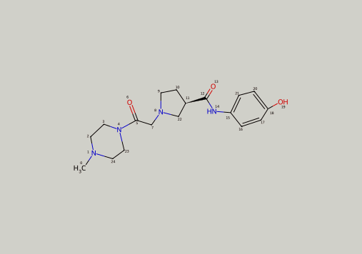 CN1CCN(C(=O)CN2CC[C@@H](C(=O)Nc3ccc(O)cc3)C2)CC1